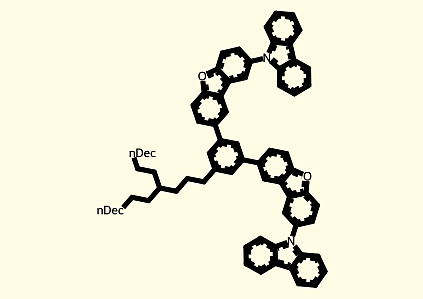 CCCCCCCCCCCCC(CCCCCCCCCCCC)CCCc1cc(-c2ccc3oc4ccc(-n5c6ccccc6c6ccccc65)cc4c3c2)cc(-c2ccc3oc4ccc(-n5c6ccccc6c6ccccc65)cc4c3c2)c1